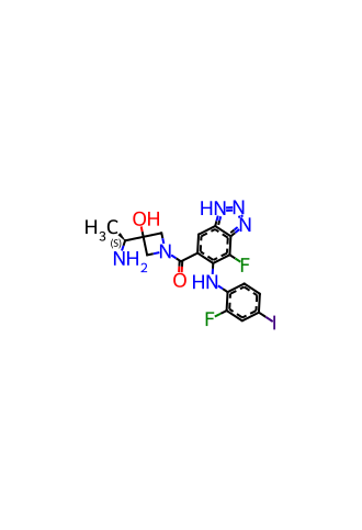 C[C@H](N)C1(O)CN(C(=O)c2cc3[nH]nnc3c(F)c2Nc2ccc(I)cc2F)C1